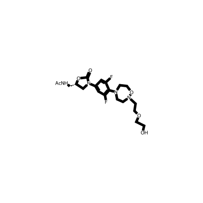 CC(=O)NC[C@H]1CN(c2cc(F)c(N3CCON(CCOCCO)CC3)c(F)c2)C(=O)O1